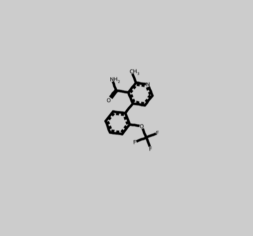 Cc1nccc(-c2ccccc2OC(F)(F)F)c1C(N)=O